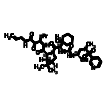 C=CCNC(=O)C(=O)C(CCC)NC(=O)[C@@H]1[C@@H]2[C@H](CN1C(=O)[C@@H](NC(=O)N[C@H](CN(C)S(=O)(=O)c1cccnc1)C(C)(C)C)C1(C)CCCCC1)C2(C)C